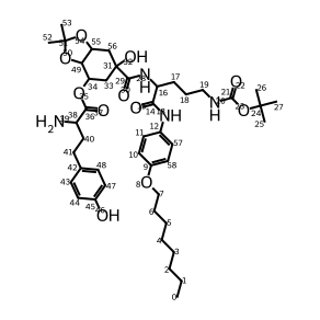 CCCCCCCCOc1ccc(NC(=O)C(CCCNC(=O)OC(C)(C)C)NC(=O)C2(O)CC(OC(=O)C(N)CCc3ccc(O)cc3)C3OC(C)(C)OC3C2)cc1